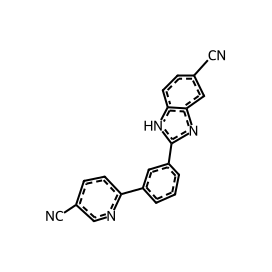 N#Cc1ccc(-c2cccc(-c3nc4cc(C#N)ccc4[nH]3)c2)nc1